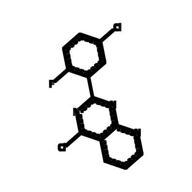 Fc1ccc(Cl)cc1-c1nc(Cl)c2cccnc2n1